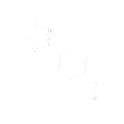 CCCOc1ccc(-c2n[c]on2)cc1